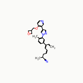 C=C/C(=C\C=C/CC(C)C#N)c1ccc(C)c(-n2cc(-c3cnccc3OCC3COC3)cn2)c1